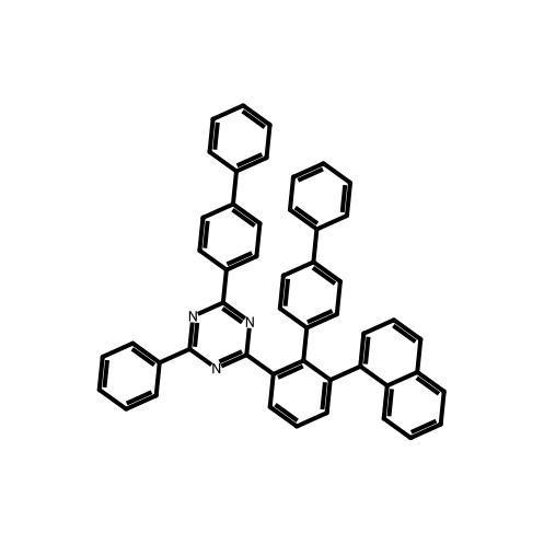 c1ccc(-c2ccc(-c3nc(-c4ccccc4)nc(-c4cccc(-c5cccc6ccccc56)c4-c4ccc(-c5ccccc5)cc4)n3)cc2)cc1